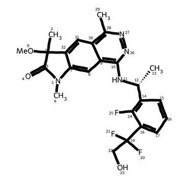 COC1(C)C(=O)N(C)c2cc3c(N[C@H](C)c4cccc(C(F)(F)CO)c4F)nnc(C)c3cc21